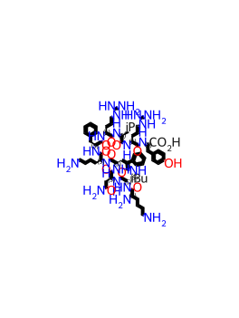 CC[C@H](C)[C@H](NC(=O)[C@@H](N)CCCCN)C(=O)N[C@@H](CC(N)=O)C(=O)N[C@@H](Cc1c[nH]c2ccccc12)C(=O)N[C@@H](CCCCN)C(=O)N[C@@H](Cc1ccccc1)C(=O)N[C@@H](CCCNC(=N)N)C(=O)N[C@@H](CC(C)C)C(=O)N[C@@H](CCCNC(=N)N)C(=O)N[C@@H](Cc1ccc(O)cc1)C(=O)O